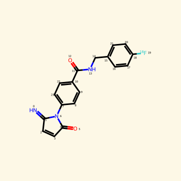 N=C1C=CC(=O)N1c1ccc(C(=O)NCc2ccc([18F])cc2)cc1